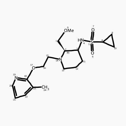 COC[C@H]1C(NS(=O)(=O)C2CC2)CCCN1CCOc1ncccc1C